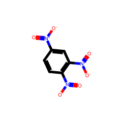 O=[N+]([O-])c1[c]c([N+](=O)[O-])c([N+](=O)[O-])cc1